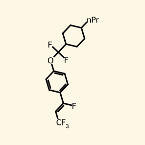 CCCC1CCC(C(F)(F)Oc2ccc(/C(F)=C/C(F)(F)F)cc2)CC1